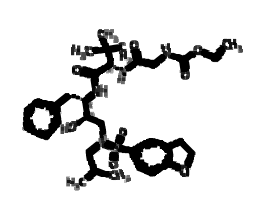 CCOC(=O)NCC(=O)N[C@H](C(=O)N[C@@H](Cc1ccccc1)[C@H](O)CN(CC(C)C)S(=O)(=O)c1ccc2c(c1)CCO2)C(C)(C)C